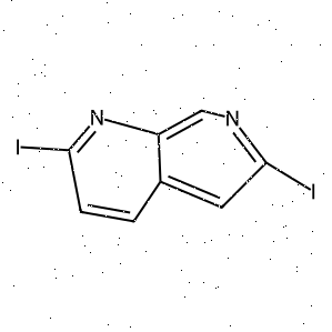 Ic1cc2ccc(I)nc2cn1